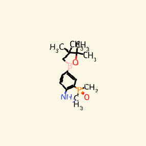 CC1(C)CB(c2ccc(N)c(P(C)(C)=O)c2)OC1(C)C